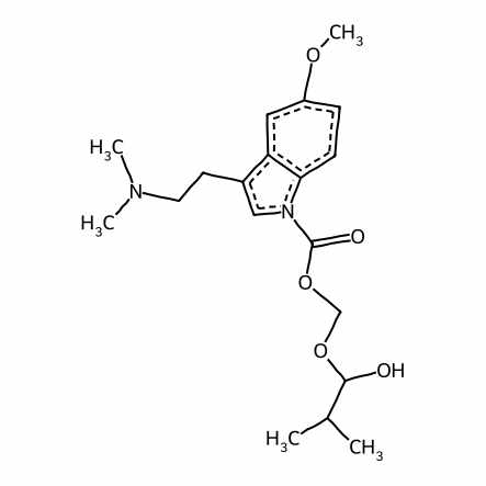 COc1ccc2c(c1)c(CCN(C)C)cn2C(=O)OCOC(O)C(C)C